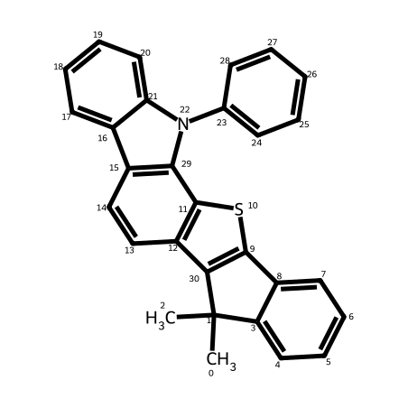 CC1(C)c2ccccc2-c2sc3c(ccc4c5ccccc5n(-c5ccccc5)c43)c21